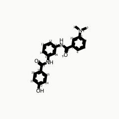 CN(C)c1cccc(C(=O)Nc2cccc(NC(=O)c3ccc(O)cc3)c2)c1